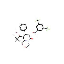 C=C(C(O[SiH](C)C)C(C)(C)C)[C@@H](c1ccccc1)[C@@H](O[C@H](C)c1cc(C(F)(F)F)cc(C(F)(F)F)c1)C(=O)N1CCOCC1